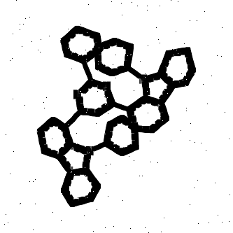 c1ccc(-c2nc(-c3cccc4c5ccccc5n(-c5ccccc5)c34)cc(-c3cccc4c5ccccc5n(-c5ccccc5)c34)n2)cc1